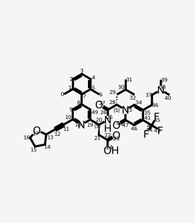 Cc1cccc(C)c1-c1cc(C#CC2CCCO2)nc([C@H](CC(=O)O)NC(=O)[C@H](CC(C)C)n2cc(CCN(C)C)c(C(F)(F)F)cc2=O)c1